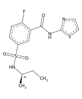 CC[C@@H](C)NS(=O)(=O)c1ccc(F)c(C(=O)Nc2nccs2)c1